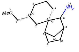 COC[C@@H]1CCC[C@@]2(C1)C1CCC(C1)C2N